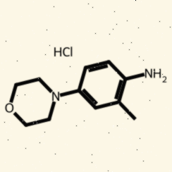 Cc1cc(N2CCOCC2)ccc1N.Cl